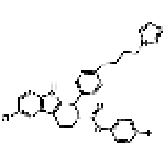 O=C(Oc1ccc(F)cc1)N1CCc2c([nH]c3ccc(Cl)cc23)C1c1ccc(OCCCn2ccnc2)cc1